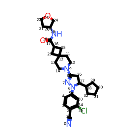 N#Cc1ccc(N2N=C(N3CCC4(CC3)CC(C(=O)N[C@H]3CCOC3)C4)CC2C2CCCC2)cc1Cl